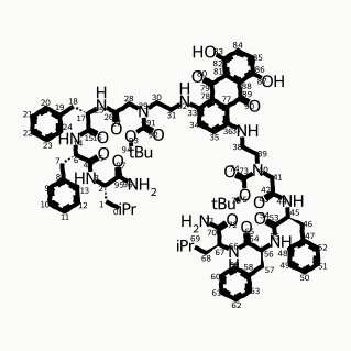 CC(C)C[C@H](NC(=O)[C@H](Cc1ccccc1)NC(=O)[C@H](Cc1ccccc1)NC(=O)CN(CCNc1ccc(NCCN(CC(=O)N[C@@H](Cc2ccccc2)C(=O)N[C@@H](Cc2ccccc2)C(=O)N[C@@H](CC(C)C)C(N)=O)C(=O)OC(C)(C)C)c2c1C(=O)c1c(O)ccc(O)c1C2=O)C(=O)OC(C)(C)C)C(N)=O